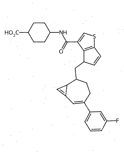 O=C(NC1CCC(C(=O)O)CC1)c1csc2c1C(CC1CCC(c3cccc(F)c3)=CC3=CC31)C=C2